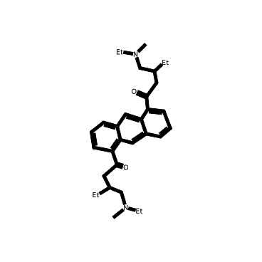 CCC(CC(=O)c1cccc2cc3c(C(=O)CC(CC)CN(C)CC)cccc3cc12)CN(C)CC